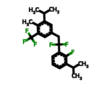 Cc1c(C(C)C)cc(CC(F)(F)c2cccc(C(C)C)c2F)cc1C(F)(F)F